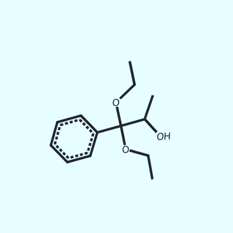 CCOC(OCC)(c1ccccc1)C(C)O